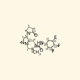 C[C@H]1Cn2ncc(N3CCCC3=O)c2CN1C(=O)Nc1cc(F)c(F)c(F)c1